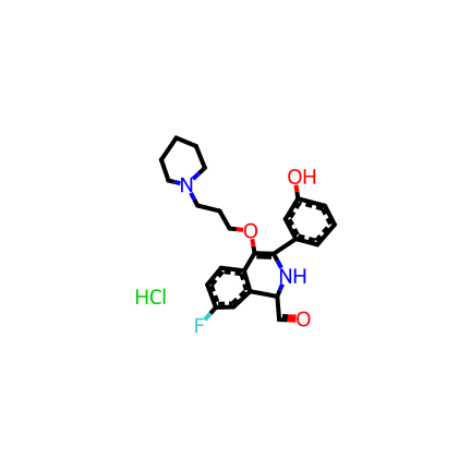 Cl.O=CC1NC(c2cccc(O)c2)=C(OCCCN2CCCCC2)c2ccc(F)cc21